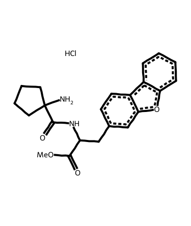 COC(=O)C(Cc1ccc2c(c1)oc1ccccc12)NC(=O)C1(N)CCCC1.Cl